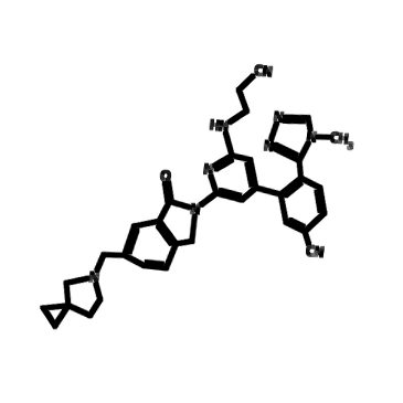 Cn1cnnc1-c1ccc(C#N)cc1-c1cc(NCCC#N)nc(N2Cc3ccc(CN4CCC5(CC5)C4)cc3C2=O)c1